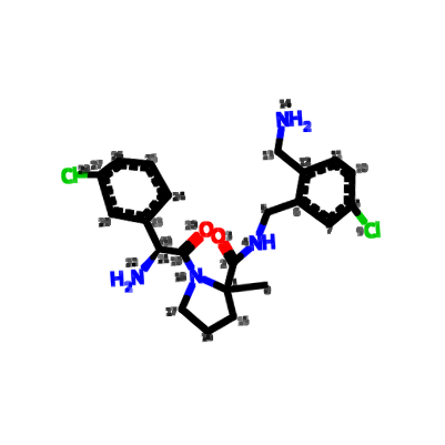 CC1(C(=O)NCc2cc(Cl)ccc2CN)CCCN1C(=O)[C@@H](N)c1cccc(Cl)c1